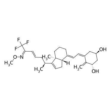 C=C1/C(=C\C=C2/CCC[C@]3(C)C([C@@H](C)C/C=C/C(=NOC)C(F)(F)F)=CC[C@@H]23)C[C@@H](O)C[C@@H]1O